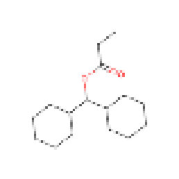 CCC(=O)OC(C1CCCCC1)C1CCCCC1